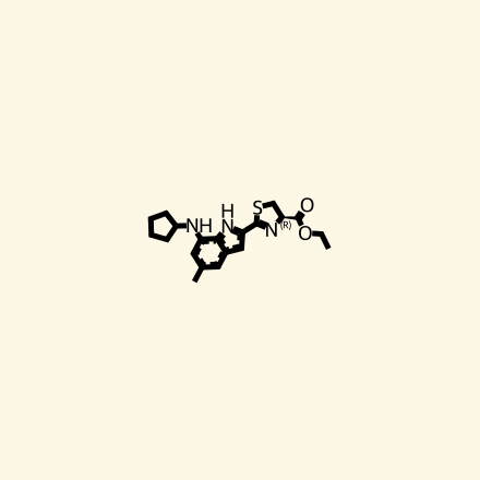 CCOC(=O)[C@@H]1CSC(c2cc3cc(C)cc(NC4CCCC4)c3[nH]2)=N1